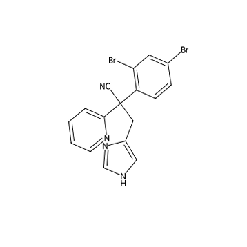 N#CC(Cc1c[nH]cn1)(c1ccccn1)c1ccc(Br)cc1Br